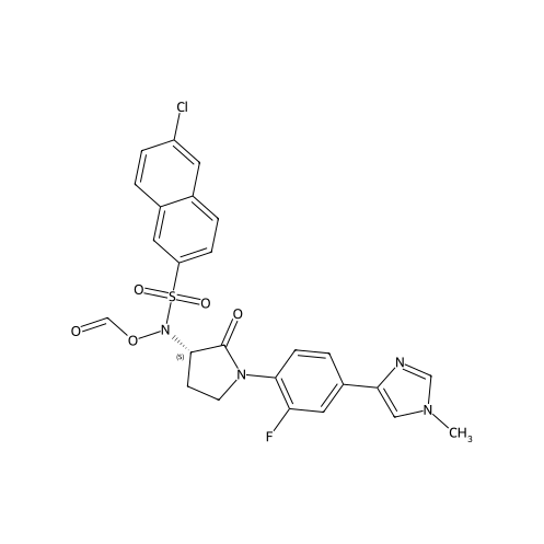 Cn1cnc(-c2ccc(N3CC[C@H](N(OC=O)S(=O)(=O)c4ccc5cc(Cl)ccc5c4)C3=O)c(F)c2)c1